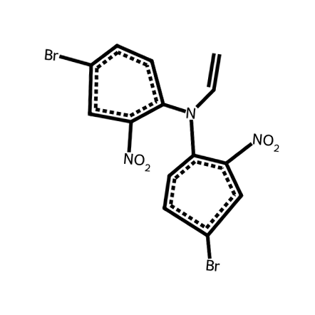 C=CN(c1ccc(Br)cc1[N+](=O)[O-])c1ccc(Br)cc1[N+](=O)[O-]